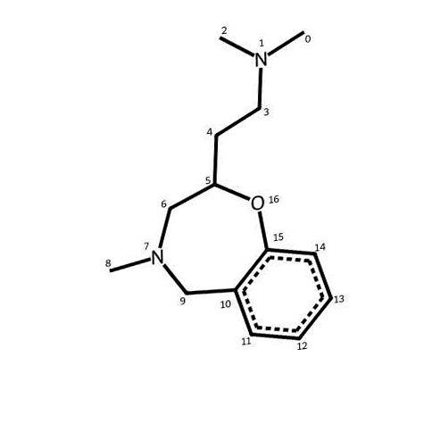 CN(C)CCC1CN(C)Cc2ccccc2O1